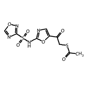 CC(=O)SCC(=O)c1cnc(NS(=O)(=O)c2ncon2)o1